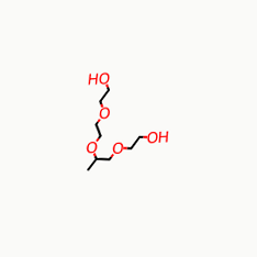 CC(COCCO)OCCOCCO